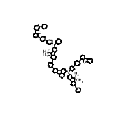 CC1(C)c2cc(-c3cccc(-c4ccc5c(c4)-c4ccc(N(c6ccc(-c7ccc(-c8cccc9c8oc8ccccc89)cc7)cc6)c6ccc7c(c6)C(C)(C)c6cc(-c8ccccc8)ccc6-7)c6cccc-5c46)c3)ccc2-c2ccc(N(c3ccccc3)c3ccc(-c4ccc(-c5cccc6c5oc5c(-c7ccccc7)cccc56)cc4)cc3)cc21